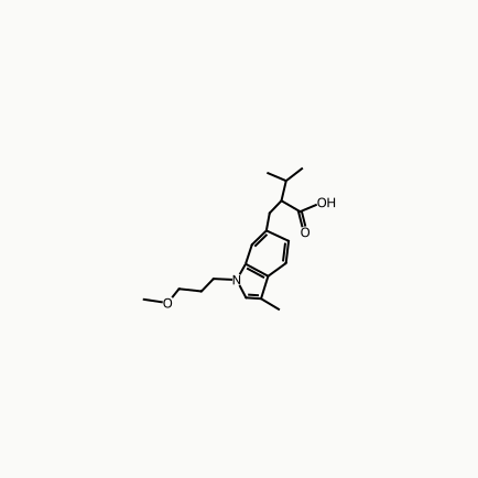 COCCCn1cc(C)c2ccc(CC(C(=O)O)C(C)C)cc21